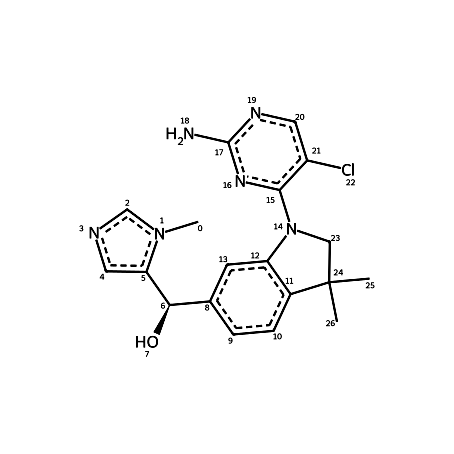 Cn1cncc1[C@H](O)c1ccc2c(c1)N(c1nc(N)ncc1Cl)CC2(C)C